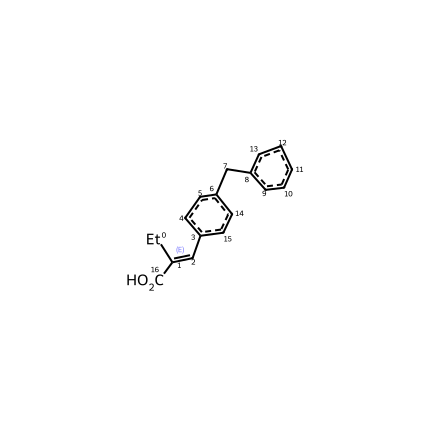 CC/C(=C\c1ccc(Cc2ccccc2)cc1)C(=O)O